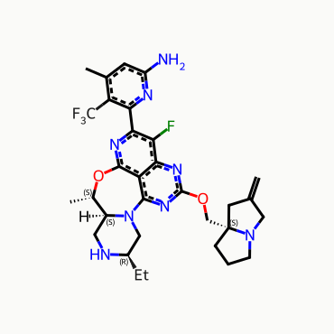 C=C1CN2CCC[C@@]2(COc2nc3c4c(nc(-c5nc(N)cc(C)c5C(F)(F)F)c(F)c4n2)O[C@@H](C)[C@@H]2CN[C@H](CC)CN32)C1